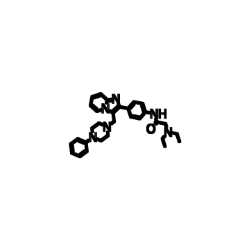 CCN(CC)CC(=O)Nc1ccc(-c2nc3ccccn3c2CN2CCN(c3ccccc3)CC2)cc1